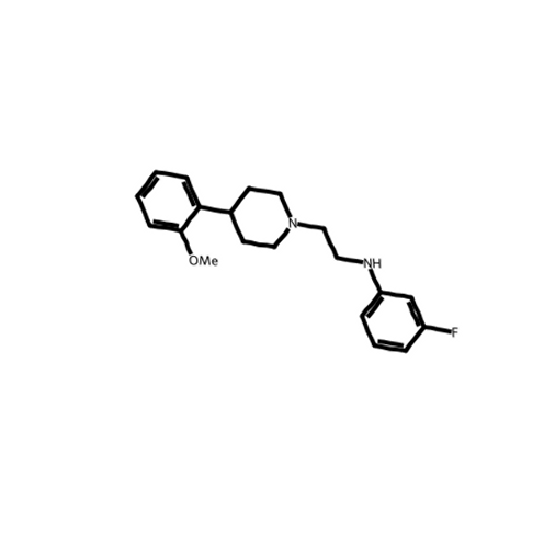 COc1ccccc1C1CCN(CCNc2cccc(F)c2)CC1